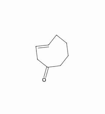 O=C1C/C=C/CCCC1